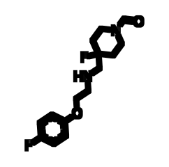 O=CN1CCC(F)(CNCCOc2ccc(F)cc2)CC1